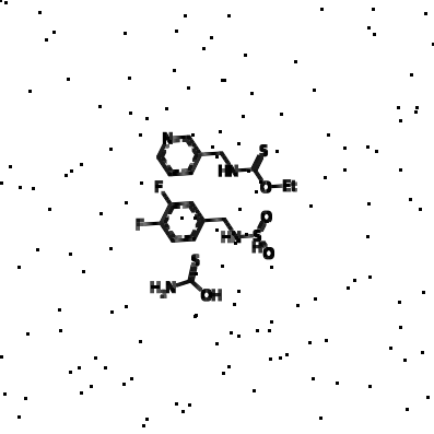 CCOC(=S)NCc1cccnc1.NC(O)=S.O=[SH](=O)NCc1ccc(F)c(F)c1